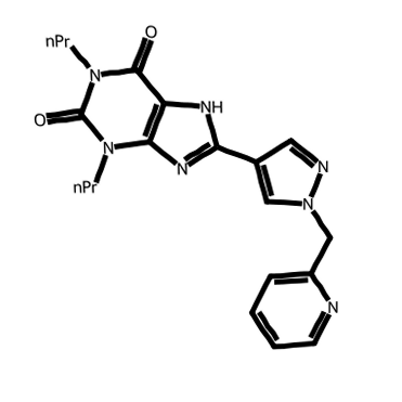 CCCn1c(=O)c2[nH]c(-c3cnn(Cc4ccccn4)c3)nc2n(CCC)c1=O